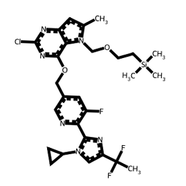 Cc1cc2nc(Cl)nc(OCc3cnc(-c4nc(C(C)(F)F)cn4C4CC4)c(F)c3)c2n1COCC[Si](C)(C)C